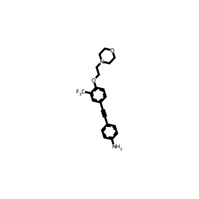 Nc1ccc(C#Cc2ccc(OCCN3CCOCC3)c(C(F)(F)F)c2)cc1